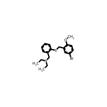 CCN(CC)Cc1ccccc1SCc1cc(Br)ccc1OC